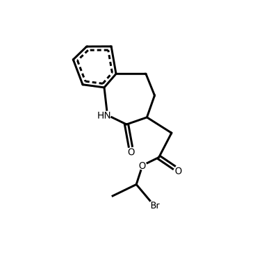 CC(Br)OC(=O)CC1CCc2ccccc2NC1=O